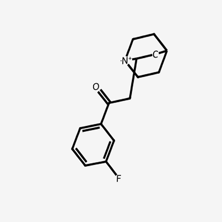 O=C(CC1CC2CC[N+]1CC2)c1cccc(F)c1